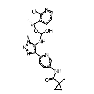 C[C@@H](OC(O)Nc1c(-c2ccc(NC(=O)C3(F)CC3)cn2)nnn1C)c1cccnc1Cl